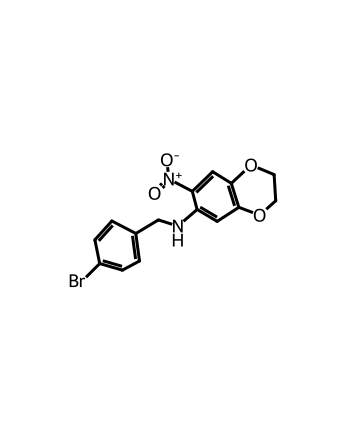 O=[N+]([O-])c1cc2c(cc1NCc1ccc(Br)cc1)OCCO2